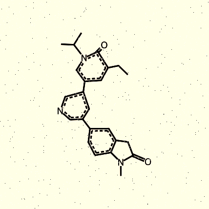 CCc1cc(-c2cncc(-c3ccc4c(c3)CC(=O)N4C)c2)cn(C(C)C)c1=O